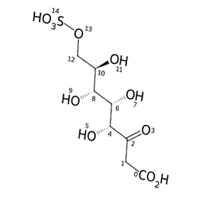 O=C(O)CC(=O)[C@H](O)[C@@H](O)[C@H](O)[C@H](O)COS(=O)(=O)O